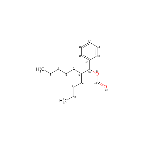 CCCCCC(CCCC)C(OC=O)c1ccccc1